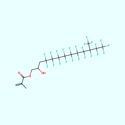 C=C(C)C(=O)OCC(O)CC(F)(F)C(F)(F)C(F)(F)C(F)(F)C(F)(F)C(F)(F)C(F)(F)C(F)(C(F)(F)F)C(F)(F)C(F)(F)F